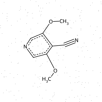 COc1cncc(OC)c1C#N